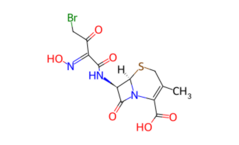 CC1=C(C(=O)O)N2C(=O)[C@@H](NC(=O)C(=NO)C(=O)CBr)[C@H]2SC1